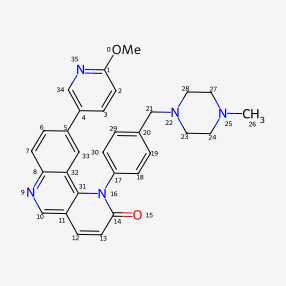 COc1ccc(-c2ccc3ncc4ccc(=O)n(-c5ccc(CN6CCN(C)CC6)cc5)c4c3c2)cn1